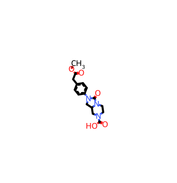 COC(=O)Cc1ccc(N2CC3CN(C(=O)O)CCN3C2=O)cc1